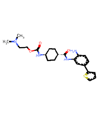 CN(C)CCOC(=O)N[C@H]1CC[C@H](C(=O)Nc2cc(-c3cccs3)ccc2N)CC1